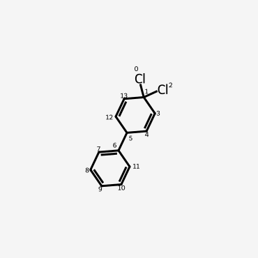 ClC1(Cl)C=CC(c2ccccc2)C=C1